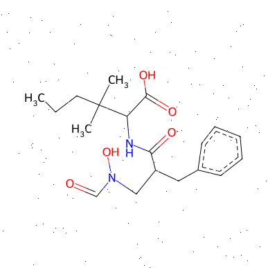 CCCC(C)(C)C(NC(=O)C(Cc1ccccc1)CN(O)C=O)C(=O)O